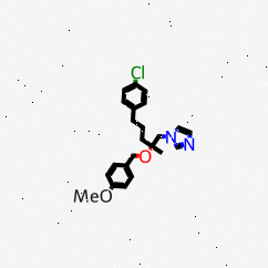 COc1ccc(COC(C)(CCCc2ccc(Cl)cc2)Cn2ccnc2)cc1